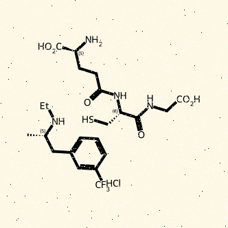 CCN[C@@H](C)Cc1cccc(C(F)(F)F)c1.Cl.N[C@@H](CCC(=O)N[C@@H](CS)C(=O)NCC(=O)O)C(=O)O